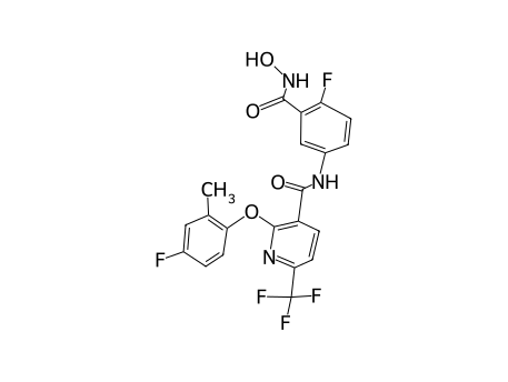 Cc1cc(F)ccc1Oc1nc(C(F)(F)F)ccc1C(=O)Nc1ccc(F)c(C(=O)NO)c1